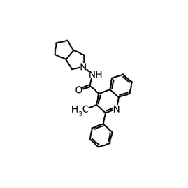 Cc1c(-c2ccccc2)nc2ccccc2c1C(=O)NN1CC2CCCC2C1